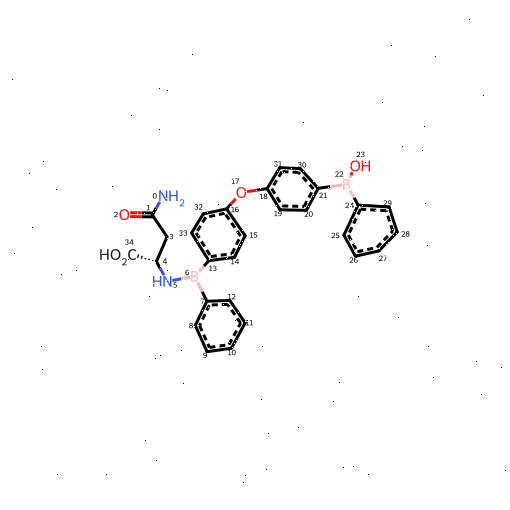 NC(=O)C[C@H](NB(c1ccccc1)c1ccc(Oc2ccc(B(O)c3ccccc3)cc2)cc1)C(=O)O